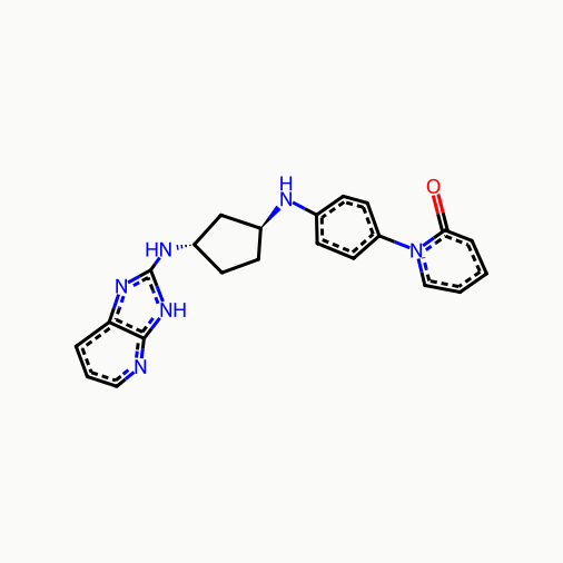 O=c1ccccn1-c1ccc(N[C@H]2CC[C@H](Nc3nc4cccnc4[nH]3)C2)cc1